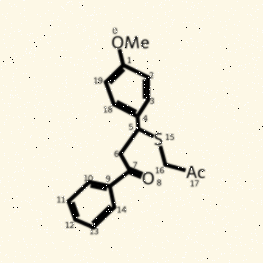 COc1ccc(C(CC(=O)c2ccccc2)SCC(C)=O)cc1